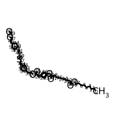 CCCCCCCCCOC(=O)CCCCCCCC(=O)Oc1ccc(CC(=O)OCCC2CCN(CCSSCCN3CCC(CCOC=O)CC3)CC2)cc1